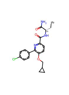 CC(C)C[C@H](NC(=O)c1ccc(OCC2CC2)c(-c2ccc(Cl)cc2)n1)C(N)=O